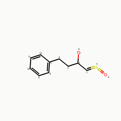 [O]C(C=S=O)CCc1ccccc1